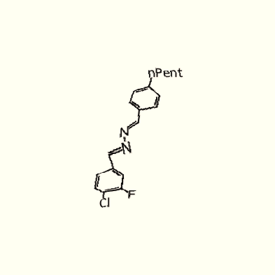 CCCCCc1ccc(C=NN=Cc2ccc(Cl)c(F)c2)cc1